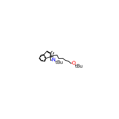 CC1=Cc2ccccc2C12CN(C(C)(C)C)[Si]2(C)CCCCCCOC(C)(C)C